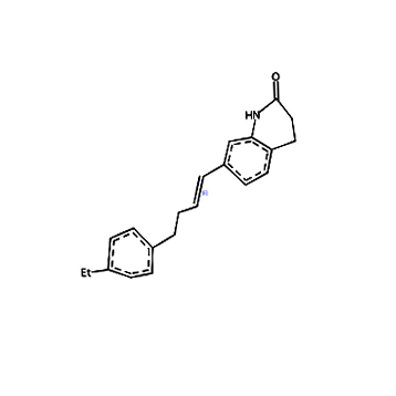 CCc1ccc(CC/C=C/c2ccc3c(c2)NC(=O)CC3)cc1